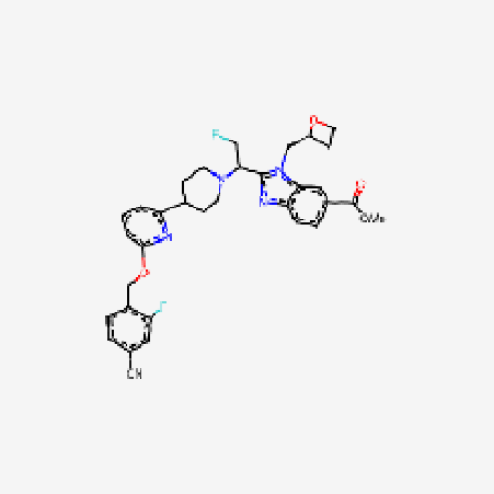 COC(=O)c1ccc2nc(C(CF)N3CCC(c4cccc(OCc5ccc(C#N)cc5F)n4)CC3)n(C[C@@H]3CCO3)c2c1